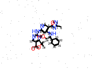 Cc1noc(-c2cnc(Nc3ncc4c(n3)C(C)(C)OC4=O)cc2N[C@H](CO)c2ccccc2)n1